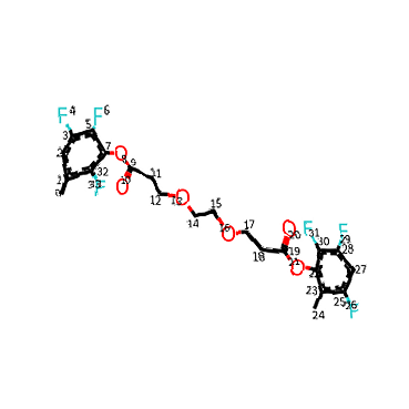 Cc1cc(F)c(F)c(OC(=O)CCOCCOCCC(=O)Oc2c(C)c(F)cc(F)c2F)c1F